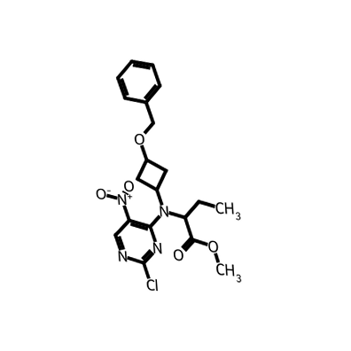 CCC(C(=O)OC)N(c1nc(Cl)ncc1[N+](=O)[O-])C1CC(OCc2ccccc2)C1